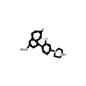 COc1cc(-c2ccc(N3CCNCC3)cc2Cl)c2cc(F)ccc2c1